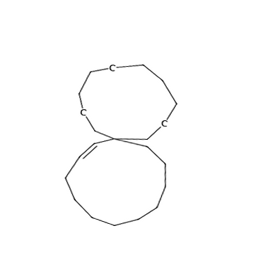 C1=C\C2(CCCCCCCCC/1)CCCCCCCCCC2